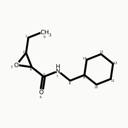 CCC1OC1C(=O)NCC1CCCCC1